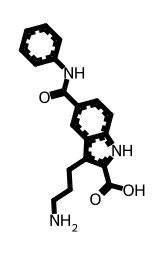 NCCCc1c(C(=O)O)[nH]c2ccc(C(=O)Nc3ccccc3)cc12